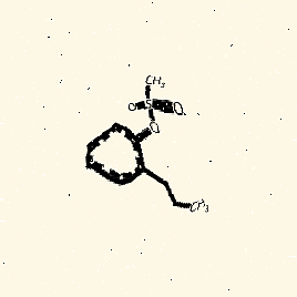 CCCc1ccccc1OS(C)(=O)=O